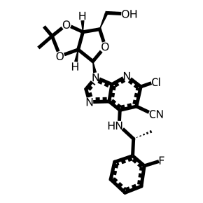 C[C@@H](Nc1c(C#N)c(Cl)nc2c1ncn2[C@@H]1O[C@H](CO)[C@H]2OC(C)(C)O[C@H]21)c1ccccc1F